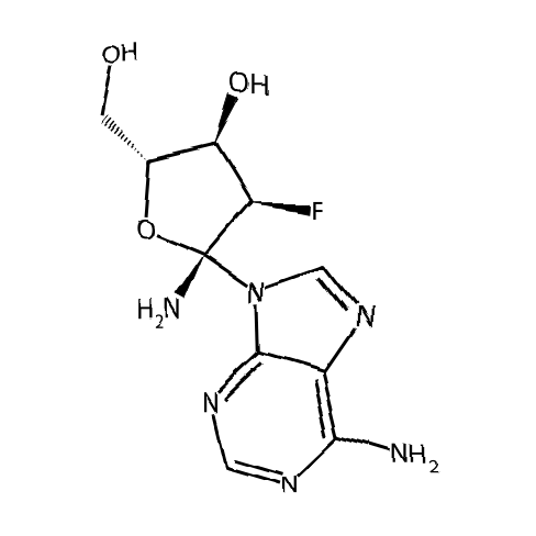 Nc1ncnc2c1ncn2[C@]1(N)O[C@H](CO)[C@@H](O)[C@H]1F